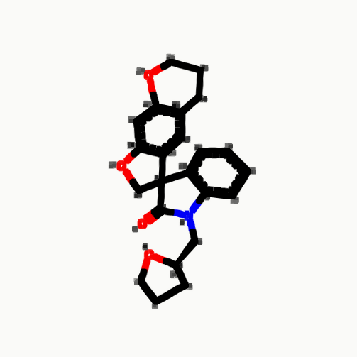 O=C1N(C[C@H]2CCCO2)c2ccccc2C12COc1cc3c(cc12)CCCO3